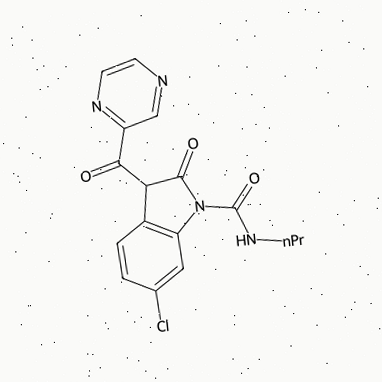 CCCNC(=O)N1C(=O)C(C(=O)c2cnccn2)c2ccc(Cl)cc21